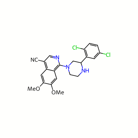 COc1cc2c(C#N)cnc(N3CCNC(c4cc(Cl)ccc4Cl)C3)c2cc1OC